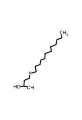 CCCCCCCCCCCCSCCC(O)O